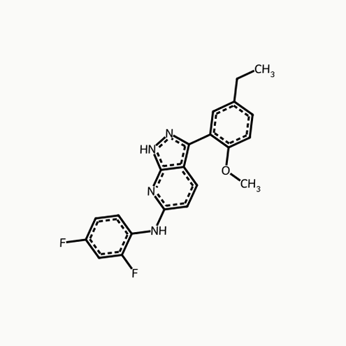 CCc1ccc(OC)c(-c2n[nH]c3nc(Nc4ccc(F)cc4F)ccc23)c1